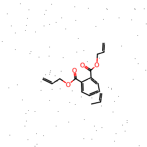 C=CC.C=CCOC(=O)c1ccccc1C(=O)OCC=C